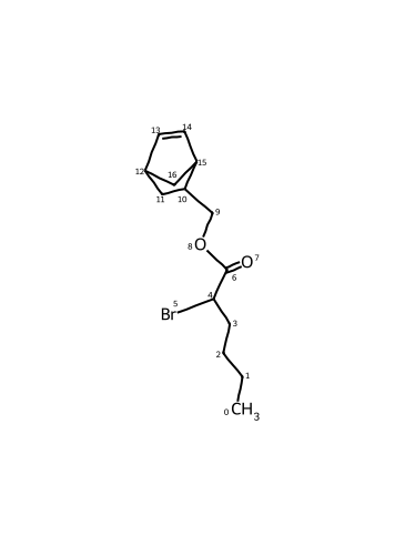 CCCCC(Br)C(=O)OCC1CC2C=CC1C2